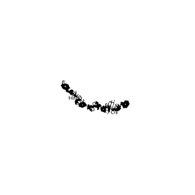 CN1C(=O)C(NC(=O)n2cc(Cc3ccc(F)cc3)cn2)COc2ccc(N3CC4(CCOC(C5CC6(CCO5)CN(c5ccc7c(c5)N(C)C(=O)[C@H](NC(=O)c5nn(Cc8ccccc8)cc5F)CO7)C6)C4)C3)cc21